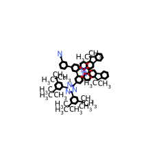 CC(C)(C)c1cc(-c2nc(-c3cc(C(C)(C)C)cc(C(C)(C)C)c3)nc(-c3ccc(-n4c5ccccc5c5cc6c(cc54)C(C)(C)c4ccccc4-6)c(-c4cc(-c5cccc(C#N)c5)ccc4-n4c5ccccc5c5cc6c(cc54)C(C)(C)c4ccccc4-6)c3)n2)cc(C(C)(C)C)c1